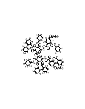 COc1ccc(C(=O)OCC2OC(OC3OC(COC(=O)c4ccc(OC)cc4OCc4ccccc4)C(OCc4ccccc4)C(OCc4ccccc4)C3OCc3ccccc3)C(OCc3ccccc3)C(OCc3ccccc3)C2OCc2ccccc2)c(OCc2ccccc2)c1